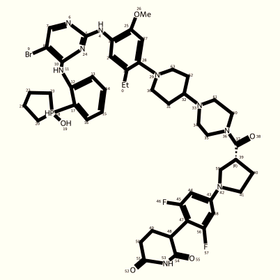 CCc1cc(Nc2ncc(Br)c(Nc3ccccc3[PH]3(O)CCCC3)n2)c(OC)cc1N1CCC(N2CCN(C(=O)[C@@H]3CCN(c4cc(F)c(C5CCC(=O)NC5=O)c(F)c4)C3)CC2)CC1